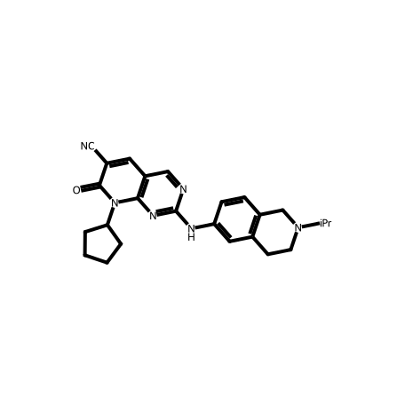 CC(C)N1CCc2cc(Nc3ncc4cc(C#N)c(=O)n(C5CCCC5)c4n3)ccc2C1